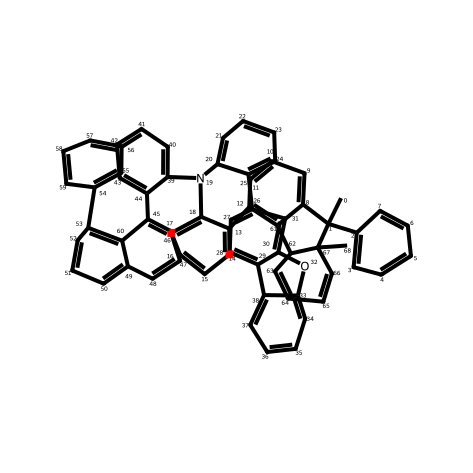 CC1(c2ccccc2)c2cccc(-c3ccccc3N(c3ccccc3-c3ccc4c(c3)oc3ccccc34)c3ccccc3-c3cccc4cccc(-c5ccccc5)c34)c2C2C=CC=CC21C